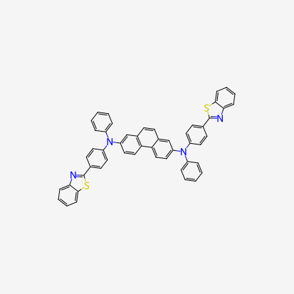 c1ccc(N(c2ccc(-c3nc4ccccc4s3)cc2)c2ccc3c(ccc4cc(N(c5ccccc5)c5ccc(-c6nc7ccccc7s6)cc5)ccc43)c2)cc1